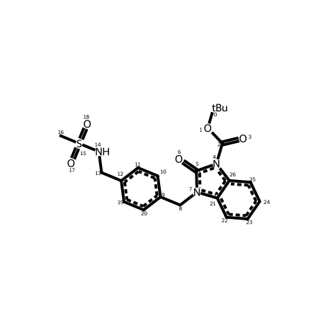 CC(C)(C)OC(=O)n1c(=O)n(Cc2ccc(CNS(C)(=O)=O)cc2)c2ccccc21